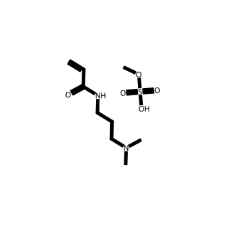 C=CC(=O)NCCCN(C)C.COS(=O)(=O)O